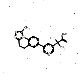 COC(=O)C(C)(C)c1cncc(-c2ccc3c(c2)CCc2nnc(C)n2-3)c1